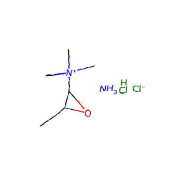 CC1OC1[N+](C)(C)C.Cl.N.[Cl-]